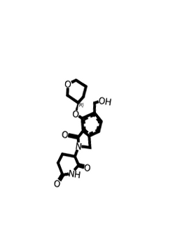 O=C1CCC(N2Cc3ccc(CO)c(O[C@@H]4CCCOC4)c3C2=O)C(=O)N1